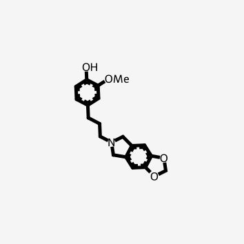 COc1cc(CCCN2Cc3cc4c(cc3C2)OCO4)ccc1O